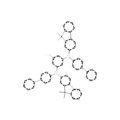 CC1(C)c2ccccc2-c2ccc(N(c3ccc(-c4ccccc4)cc3)c3cc(Br)cc(N(c4ccc(-c5ccccc5)cc4)c4ccc5c(c4)C(C)(C)c4ccccc4-5)c3)cc21